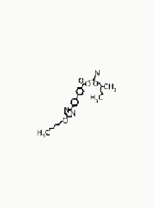 CCCCCCOc1cnc(-c2ccc(-c3ccc(C(=O)OC[C@H](C#N)OCC(C)CCC)cc3)cc2)nc1